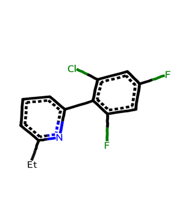 CCc1cccc(-c2c(F)cc(F)cc2Cl)n1